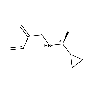 C=CC(=C)CN[C@@H](C)C1CC1